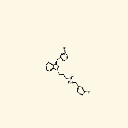 O=C(CCCc1cn(Cc2cccc(F)c2)c2ccccc12)NCc1cccc(F)c1